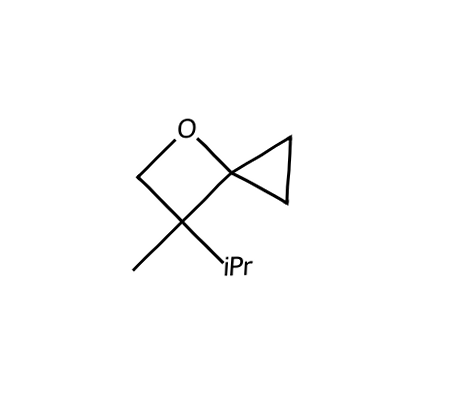 CC(C)C1(C)COC12CC2